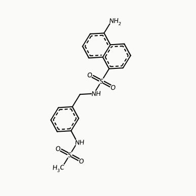 CS(=O)(=O)Nc1cccc(CNS(=O)(=O)c2cccc3c(N)cccc23)c1